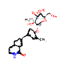 Cc1cc(-c2ccc3cc[nH]c(=O)c3c2)ccc1O[C@H]1O[C@H](CO)[C@@H](O)[C@](C)(O)[C@@H]1O